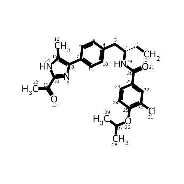 [CH2]C[C@@H](Cc1ccc(-c2nc(C(C)=O)[nH]c2C)cc1)NC(=O)c1ccc(OC(C)C)c(Cl)c1